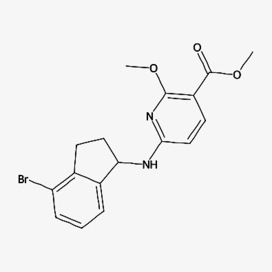 COC(=O)c1ccc(NC2CCc3c(Br)cccc32)nc1OC